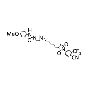 COc1ccc(NC(=O)N2CCN(CCCCCCC3=C(C)C(=O)N(c4ccc(C#N)c(C(F)(F)F)c4)C3=O)CC2)cc1